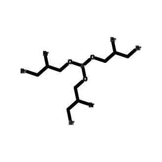 BrCC(Br)COB(OCC(Br)CBr)OCC(Br)CBr